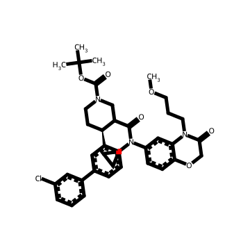 COCCCN1C(=O)COc2ccc(N(C(=O)C3CN(C(=O)OC(C)(C)C)CC[C@@H]3c3cccc(-c4cccc(Cl)c4)c3)C3CC3)cc21